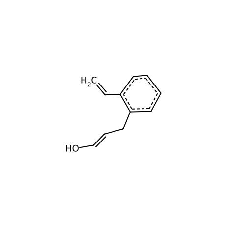 C=Cc1ccccc1CC=CO